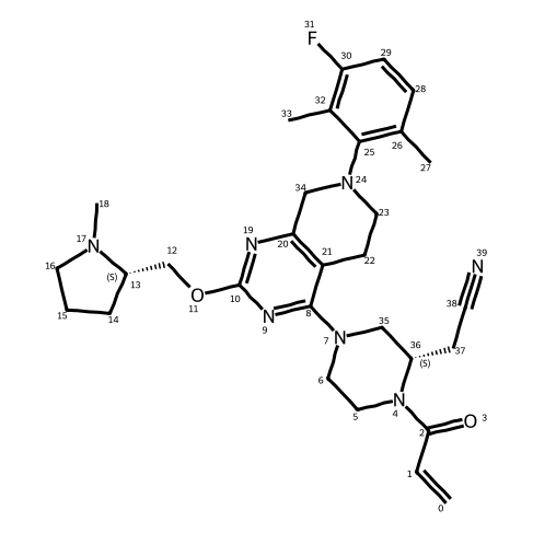 C=CC(=O)N1CCN(c2nc(OC[C@@H]3CCCN3C)nc3c2CCN(c2c(C)ccc(F)c2C)C3)C[C@@H]1CC#N